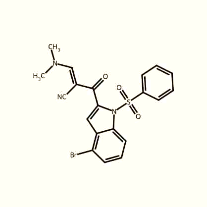 CN(C)/C=C(\C#N)C(=O)c1cc2c(Br)cccc2n1S(=O)(=O)c1ccccc1